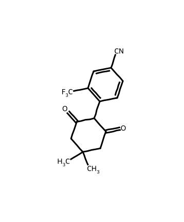 CC1(C)CC(=O)C(c2ccc(C#N)cc2C(F)(F)F)C(=O)C1